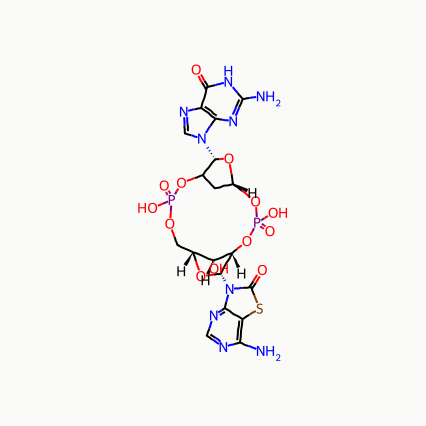 Nc1nc2c(ncn2[C@@H]2O[C@H]3CC2OP(=O)(O)OC[C@H]2O[C@@H](n4c(=O)sc5c(N)ncnc54)[C@@H](OP(=O)(O)O3)[C@@H]2O)c(=O)[nH]1